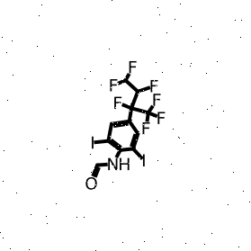 O=CNc1c(I)cc(C(F)(C(F)C(F)F)C(F)(F)F)cc1I